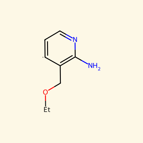 CCOCc1[c]ccnc1N